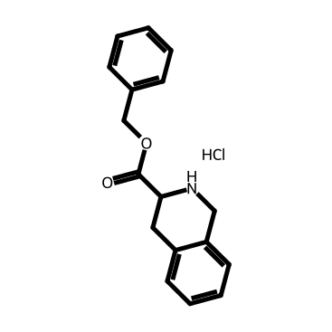 Cl.O=C(OCc1ccccc1)C1Cc2ccccc2CN1